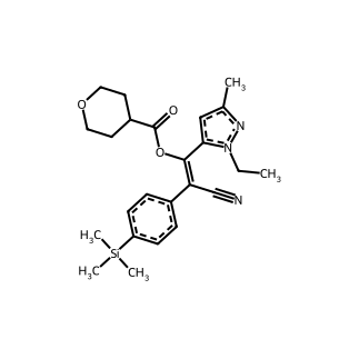 CCn1nc(C)cc1C(OC(=O)C1CCOCC1)=C(C#N)c1ccc([Si](C)(C)C)cc1